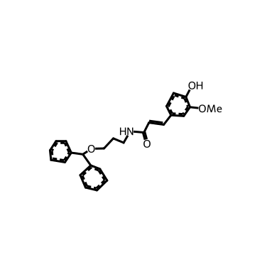 COc1cc(C=CC(=O)NCCCOC(c2ccccc2)c2ccccc2)ccc1O